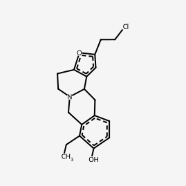 CCc1c(O)ccc2c1CN1CCc3oc(CCCl)cc3C1C2